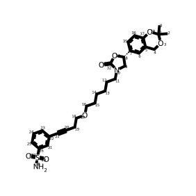 CC1(C)OCc2cc([C@@H]3CN(CCCCCCOCCC#Cc4cccc(S(N)(=O)=O)c4)C(=O)O3)ccc2O1